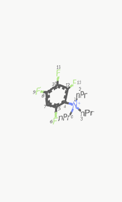 CCC[N+](CCC)(CCC)c1c(F)cc(F)c(F)c1F